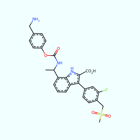 CC(NC(=O)Oc1ccc(CN)cc1)c1cccc2c(-c3ccc(CS(C)(=O)=O)c(F)c3)c(C(=O)O)[nH]c12